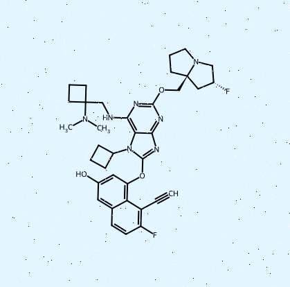 C#Cc1c(F)ccc2cc(O)cc(Oc3nc4nc(OC[C@@]56CCCN5C[C@H](F)C6)nc(NCC5(N(C)C)CCC5)c4n3C3CCC3)c12